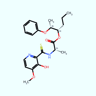 CCC[C@H](OC(=O)[C@H](C)NC(=S)c1nccc(OC)c1O)[C@@H](C)Oc1ccccc1